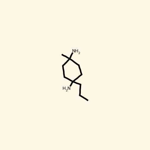 CCCC1(N)CCC(C)(N)CC1